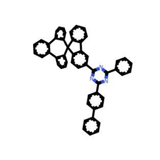 c1ccc(-c2ccc(-c3nc(-c4ccccc4)nc(-c4ccc5c(c4)-c4ccccc4C54c5ccccc5-c5ccccc5-c5ccccc54)n3)cc2)cc1